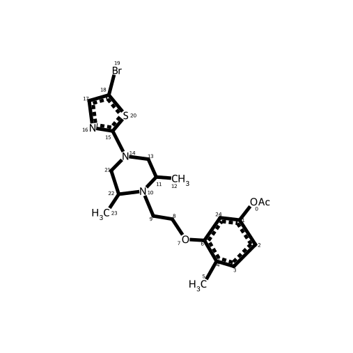 CC(=O)Oc1ccc(C)c(OCCN2C(C)CN(c3ncc(Br)s3)CC2C)c1